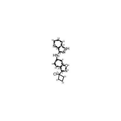 ClC1(c2noc3cc(Nc4n[nH]c5cccnc45)ccc23)CCC1